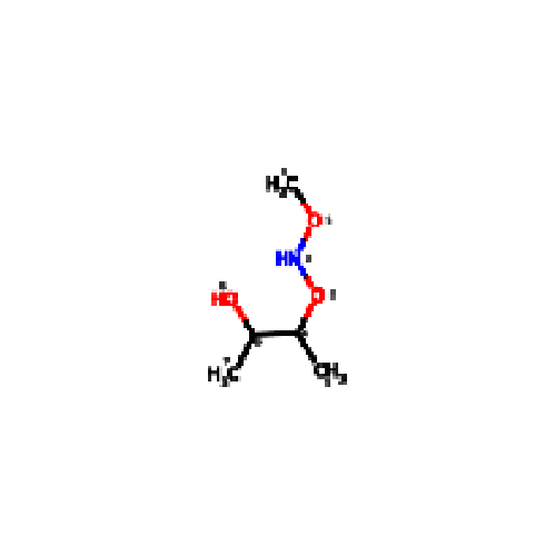 CONOC(C)C(C)O